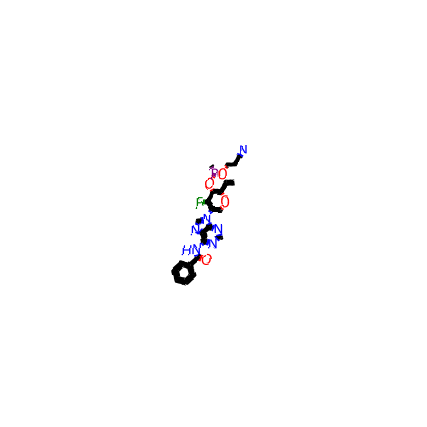 CCC1OCC(n2cnc3c(NC(=O)c4ccccc4)ncnc32)C(F)C1OP(C)OCCC#N